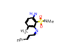 CCC/C=C/C=N\c1c(C)ccc(N)c1S(=O)(=O)NC